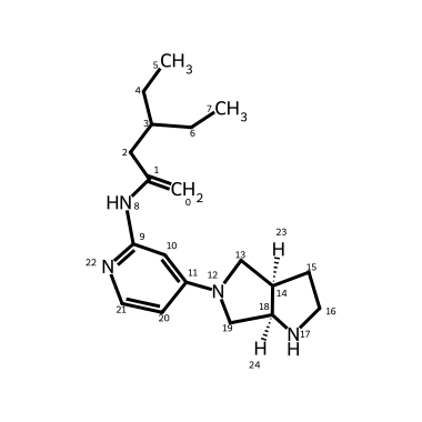 C=C(CC(CC)CC)Nc1cc(N2C[C@H]3CCN[C@H]3C2)ccn1